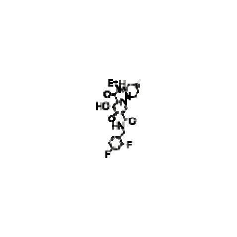 CCN1C(=O)c2c(O)c(=O)c(C(=O)NCc3ccc(F)cc3F)cn2N2CC[C@@H](C)C[C@@H]12